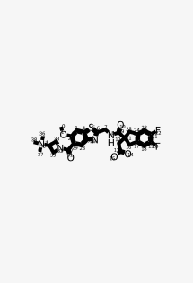 COc1cc2sc(CNC(=O)C3(CC(=O)[O-])Cc4cc(F)c(F)cc4C3)nc2cc1C(=O)N1CC([N+](C)(C)C)C1